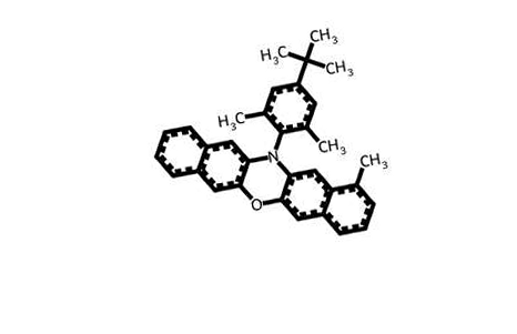 Cc1cc(C(C)(C)C)cc(C)c1N1c2cc3ccccc3cc2Oc2cc3cccc(C)c3cc21